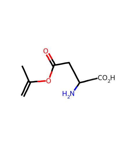 C=C(C)OC(=O)CC(N)C(=O)O